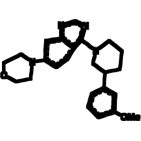 COc1cccc(C2CCCN(c3ncnc4cc(N5CCOCC5)ccc34)C2)c1